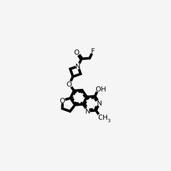 Cc1nc(O)c2cc(OC3CN(C(=O)CF)C3)c3c(c2n1)CCO3